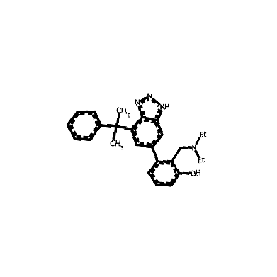 CCN(CC)Cc1c(O)cccc1-c1cc(C(C)(C)c2ccccc2)c2nn[nH]c2c1